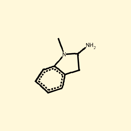 CN1c2ccccc2CC1N